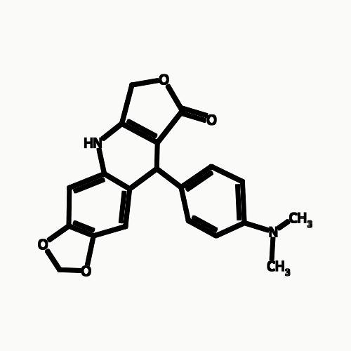 CN(C)c1ccc(C2C3=C(COC3=O)Nc3cc4c(cc32)OCO4)cc1